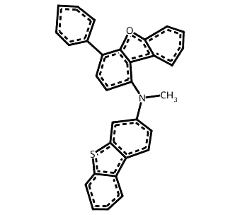 CN(c1ccc2c(c1)sc1ccccc12)c1ccc(-c2ccccc2)c2oc3ccccc3c12